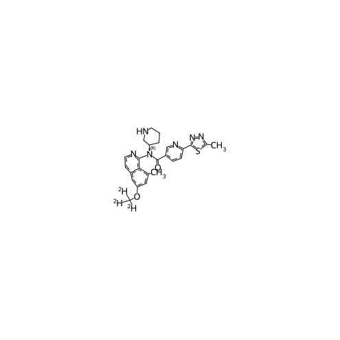 [2H]C([2H])([2H])Oc1cc(C)c2c(N(C(=O)c3ccc(-c4nnc(C)s4)nc3)[C@@H]3CCCNC3)nccc2c1